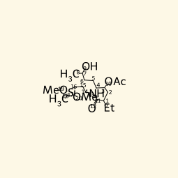 CCC(CC(CCCC(C)O)OC(C)=O)C(=O)NCCC[Si](C)(OC)OC